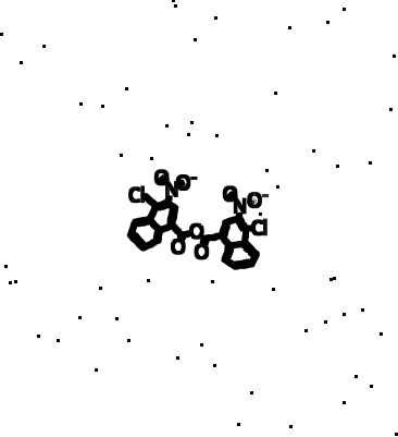 O=C(OC(=O)c1cc([N+](=O)[O-])c(Cl)c2ccccc12)c1cc([N+](=O)[O-])c(Cl)c2ccccc12